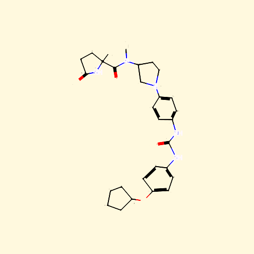 CN(C(=O)C1(C)CCC(=O)N1)C1CCN(c2ccc(NC(=O)Nc3ccc(OC4CCCC4)cc3)cc2)C1